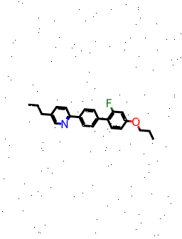 CCCOc1ccc(-c2ccc(-c3ccc(CCC)cn3)cc2)c(F)c1